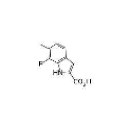 Cc1ccc2cc(C(=O)O)[nH]c2c1F